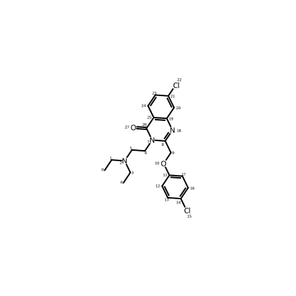 CCN(CC)CCn1c(COc2ccc(Cl)cc2)nc2cc(Cl)ccc2c1=O